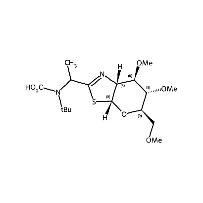 COC[C@H]1O[C@@H]2SC(C(C)N(C(=O)O)C(C)(C)C)=N[C@@H]2[C@@H](OC)[C@@H]1OC